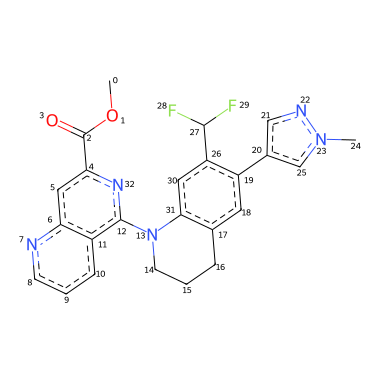 COC(=O)c1cc2ncccc2c(N2CCCc3cc(-c4cnn(C)c4)c(C(F)F)cc32)n1